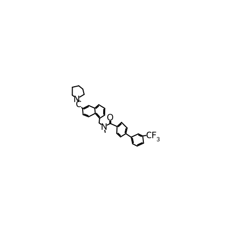 CN(Cc1cccc2cc(CN3CCCCC3)ccc12)C(=O)c1ccc(-c2cccc(C(F)(F)F)c2)cc1